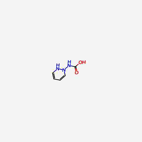 O=C(O)NN1C=CC=CN1